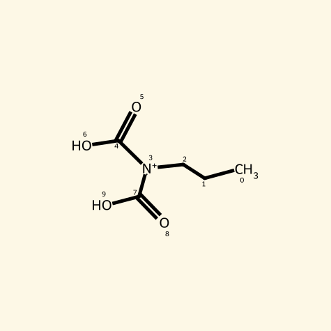 CCC[N+](C(=O)O)C(=O)O